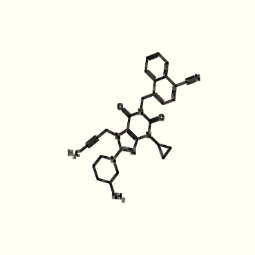 CC#CCn1c(N2CCCC(N)C2)nc2c1c(=O)n(Cc1ccc(C#N)c3ccccc13)c(=O)n2C1CC1